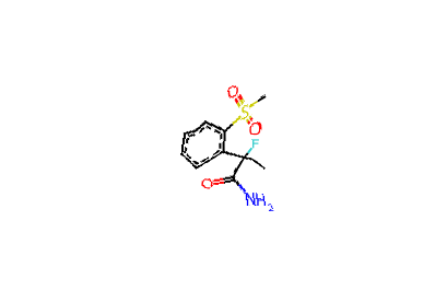 CC(F)(C(N)=O)c1ccccc1S(C)(=O)=O